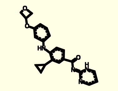 O=C(N=c1nccc[nH]1)c1ccc(Nc2cccc(OC3COC3)c2)c(C2CC2)c1